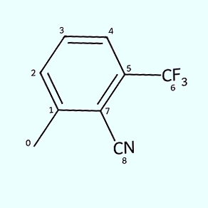 Cc1cccc(C(F)(F)F)c1C#N